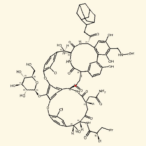 CCCCCCCCCCNCc1c(O)cc2c(c1O)-c1cc(ccc1O)[C@H]1CC(=O)[C@@H]3NC(=O)[C@H](CC(N)=O)CC(=O)[C@H](NC(=O)[C@H](CC)CC(C)C)[C@H](O)c4ccc(c(Cl)c4)Oc4cc3cc(c4O[C@@H]3O[C@H](CO)[C@@H](O)[C@H](O)[C@H]3O)Oc3ccc(cc3Cl)[C@@H](O)[C@H](NC1=O)C(=O)N[C@@H]2C(=O)CC1C2CC3CC(C2)CC1C3